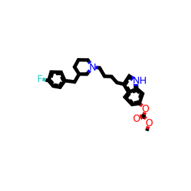 COC(=O)Oc1ccc2c(CCCCN3CCCC(Cc4ccc(F)cc4)C3)c[nH]c2c1